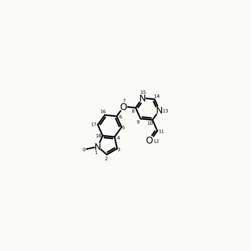 Cn1ccc2cc(Oc3cc(C=O)ncn3)ccc21